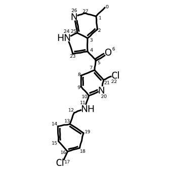 CC1C=c2c(C(=O)c3ccc(NCc4ccc(Cl)cc4)nc3Cl)c[nH]c2=NC1